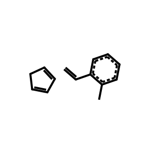 C1=CCC=C1.C=Cc1ccccc1C